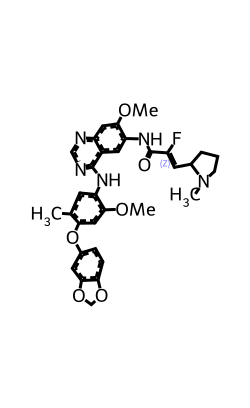 COc1cc2ncnc(Nc3cc(C)c(Oc4ccc5c(c4)OCO5)cc3OC)c2cc1NC(=O)/C(F)=C/C1CCCN1C